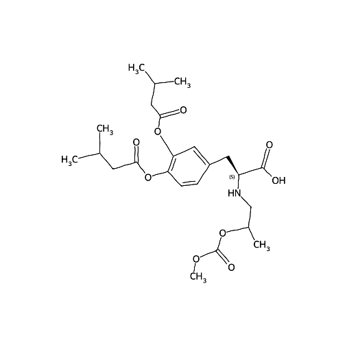 COC(=O)OC(C)CN[C@@H](Cc1ccc(OC(=O)CC(C)C)c(OC(=O)CC(C)C)c1)C(=O)O